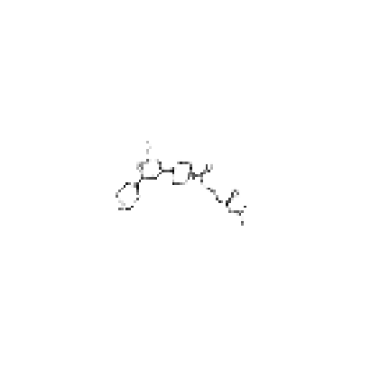 CC(C)=CC(=O)CCCC(=O)N1CCN(c2cc(Cl)nc(N3CCOCC3)c2)CC1